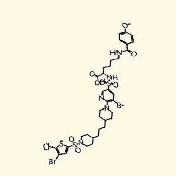 COc1ccc(C(=O)NCCCCC(NS(=O)(=O)c2cnc(N3CCC(CCCC4CCN(S(=O)(=O)c5cc(Br)c(Cl)s5)CC4)CC3)c(Br)c2)C(=O)O)cc1